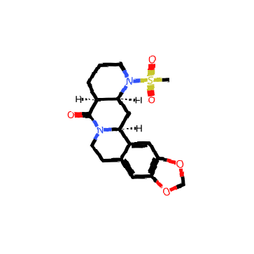 CS(=O)(=O)N1CCC[C@@H]2C(=O)N3CCc4cc5c(cc4[C@@H]3C[C@@H]21)OCO5